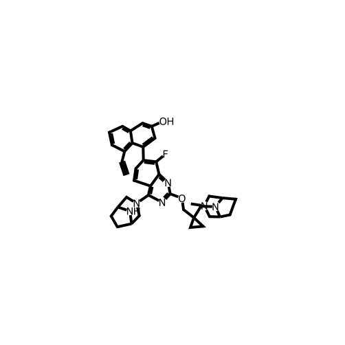 C#Cc1cccc2cc(O)cc(-c3ccc4c(N5CC6CCC(C5)N6)nc(OCC5(CN6C7CCC6CN(C)C7)CC5)nc4c3F)c12